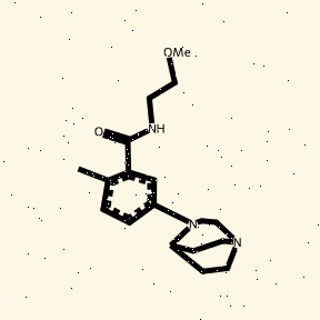 COCCNC(=O)c1cc(N2CCN3CCC2CC3)ccc1C